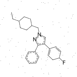 CCC1CCC(Cn2cc(C3=CCC(F)C=C3)c(-c3ccccc3)n2)CC1